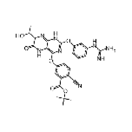 CC(O)C1N=C2NC(Oc3cccc(NC(=N)N)c3)=NC(Oc3ccc(C#N)c(C(=O)OC(C)(C)C)c3)=C2NC1=O